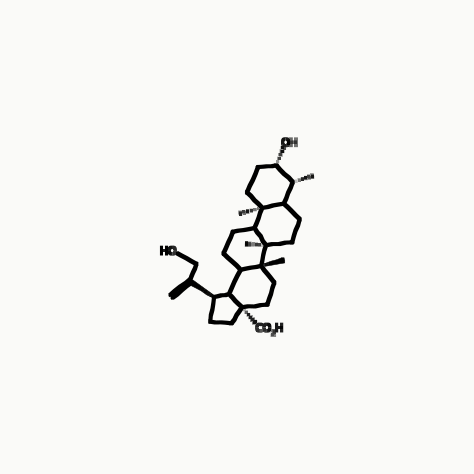 C=C(CO)[C@@H]1CC[C@]2(C(=O)O)CC[C@]3(C)C(CCC4[C@@]5(C)CC[C@H](O)[C@H](C)C5CC[C@]43C)C12